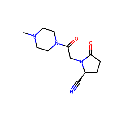 CN1CCN(C(=O)CN2C(=O)CC[C@H]2C#N)CC1